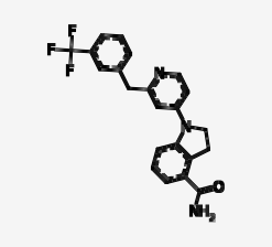 NC(=O)c1cccc2c1CCN2c1ccnc(Cc2cccc(C(F)(F)F)c2)c1